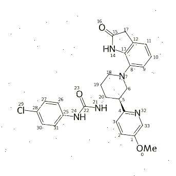 COc1ccc([C@@H]2CN(c3cccc4c3NC(=O)C4)CC[C@H]2NC(=O)Nc2ccc(Cl)cc2)nc1